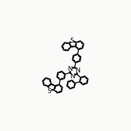 c1ccc(-c2ccccc2-c2nc(-c3ccc(-c4cccc5sc6ccccc6c45)cc3)nc(-c3cccc(-c4cccc5sc6ccccc6c45)c3)n2)cc1